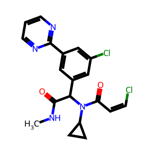 CNC(=O)C(c1cc(Cl)cc(-c2ncccn2)c1)N(C(=O)/C=C\Cl)C1CC1